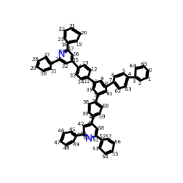 c1ccc(-c2ccc(-c3cc(-c4ccc(-c5cc(-c6ccccc6)nc(-c6ccccc6)c5)cc4)cc(-c4ccc(-c5cc(-c6ccccc6)nc(-c6ccccc6)c5)cc4)c3)cc2)cc1